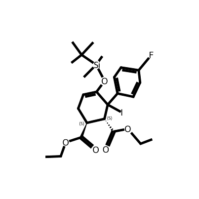 CCOC(=O)[C@H]1CC=C(O[Si](C)(C)C(C)(C)C)C(I)(c2ccc(F)cc2)[C@@H]1C(=O)OCC